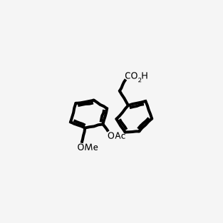 COc1ccccc1OC(C)=O.O=C(O)Cc1ccccc1